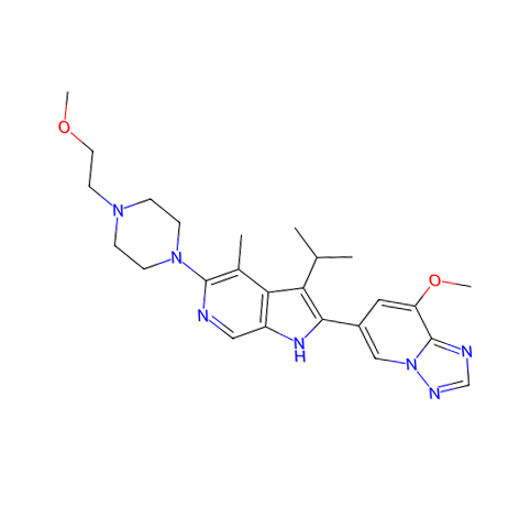 COCCN1CCN(c2ncc3[nH]c(-c4cc(OC)c5ncnn5c4)c(C(C)C)c3c2C)CC1